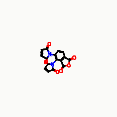 O=C1OC(=O)c2c1ccc(N1C(=O)C=CC1=O)c2N1C(=O)C=CC1=O